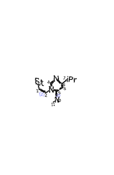 CC/C=C\n1cnc(C(C)C)c/c1=N/C